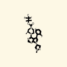 C[C@@H]1CN(c2ncnc3c2c(-c2ccccc2F)cn3-c2cnn(C)c2)[C@@H](C)CN1C(=O)OC(C)(C)C(F)(F)F